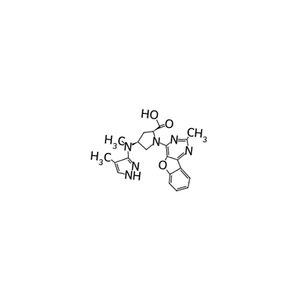 Cc1nc(N2C[C@@H](N(C)c3n[nH]cc3C)C[C@H]2C(=O)O)c2oc3ccccc3c2n1